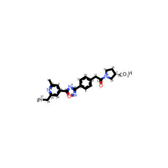 Cc1cc(-c2nc(-c3ccc(CC(=O)N4CC[C@H](C(=O)O)C4)cc3)no2)cc(CC(C)C)n1